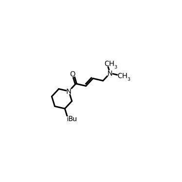 CCC(C)C1CCCN(C(=O)/C=C/CN(C)C)C1